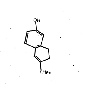 CCCCCCC1=[C]c2ccc(O)cc2CC1